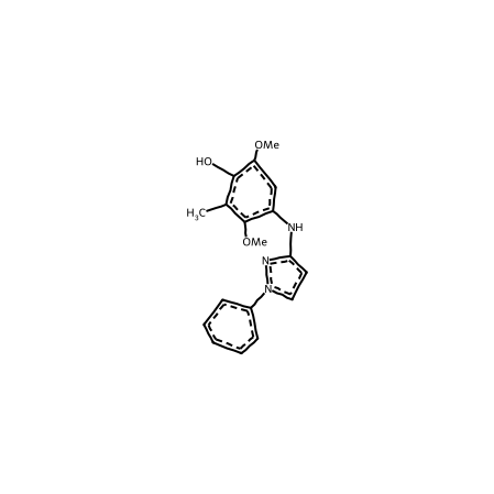 COc1cc(Nc2ccn(-c3ccccc3)n2)c(OC)c(C)c1O